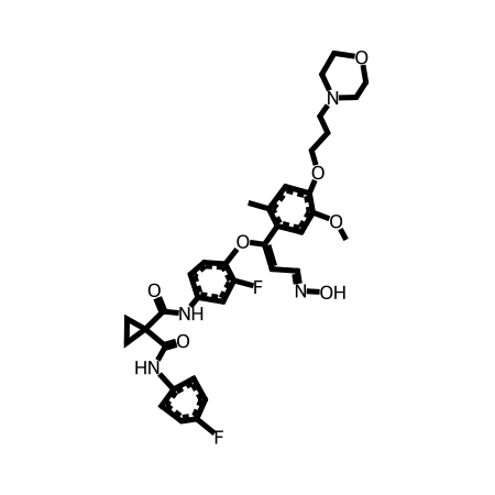 COc1cc(/C(=C\C=N\O)Oc2ccc(NC(=O)C3(C(=O)Nc4ccc(F)cc4)CC3)cc2F)c(C)cc1OCCCN1CCOCC1